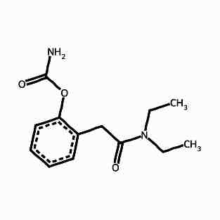 CCN(CC)C(=O)Cc1ccccc1OC(N)=O